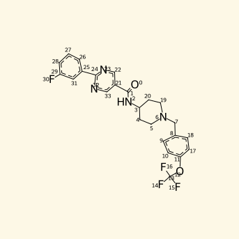 O=C(NC1CCN(Cc2ccc(OC(F)(F)F)cc2)CC1)c1cnc(-c2cccc(F)c2)nc1